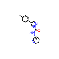 Cc1ccc(-c2cnn(C(=O)NC3CC4CCN(CC4)C3)c2)cc1